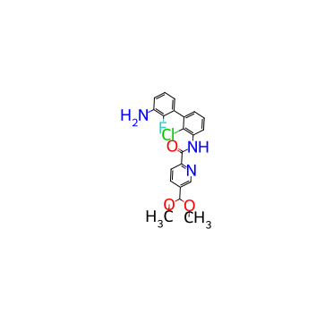 COC(OC)c1ccc(C(=O)Nc2cccc(-c3cccc(N)c3F)c2Cl)nc1